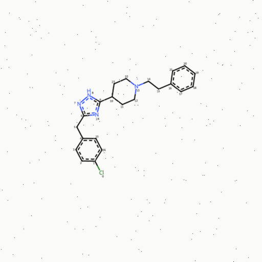 Clc1ccc(Cc2n[nH]c(C3CCN(CCc4ccccc4)CC3)n2)cc1